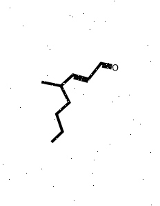 CCCCC(C)/C=C/C=O